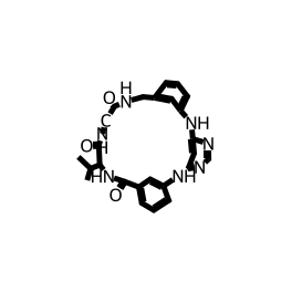 CC(C)C1NC(=O)c2cccc(c2)Nc2cc(ncn2)Nc2cccc(c2)CNC(=O)CNC1=O